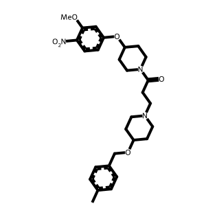 COc1cc(OC2CCN(C(=O)CCN3CCC(OCc4ccc(C)cc4)CC3)CC2)ccc1[N+](=O)[O-]